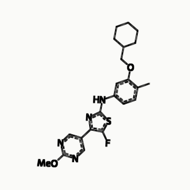 COc1ncc(-c2nc(Nc3ccc(C)c(OCC4CCCCC4)c3)sc2F)cn1